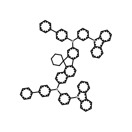 c1ccc(-c2ccc(N(c3cccc(-n4c5ccccc5c5ccccc54)c3)c3ccc4c(c3)C3(CCCCC3)c3c-4ccc4cc(N(c5ccc(-c6ccccc6)cc5)c5cccc(-n6c7ccccc7c7ccccc76)c5)ccc34)cc2)cc1